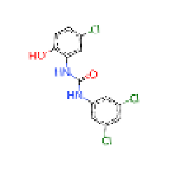 O=C(Nc1cc(Cl)cc(Cl)c1)Nc1cc(Cl)ccc1O